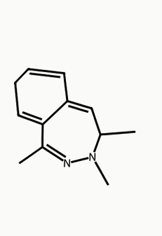 CC1=NN(C)C(C)C=C2C=CCC=C21